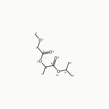 COCC(=O)OC(C)C(=O)OC(C)C